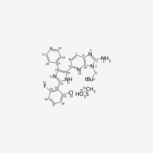 CC(C)(C)Cn1c(N)nc2ccc(-c3[nH]c(-c4c(F)cccc4Cl)nc3-c3ccccc3)nc21.CS(=O)(=O)O